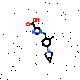 Cc1cc(N2CC3CC3C2)ccc1Cn1cnc(C(=O)O)c1